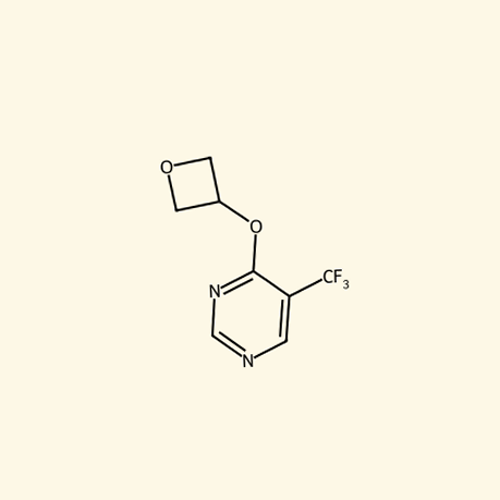 FC(F)(F)c1cncnc1OC1COC1